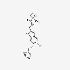 CC1(C(=O)NCc2cc3cc(Cl)c(OCc4cscn4)cc3[nH]2)CCO1